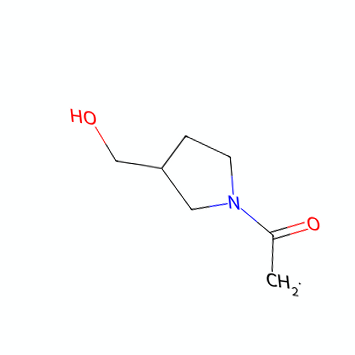 [CH2]C(=O)N1CCC(CO)C1